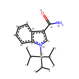 CC(C)[Si](C(C)C)(C(C)C)n1cc(C(N)=O)c2c[c]ccc21